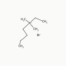 CCCC[N+](C)(C)CC.[Br-]